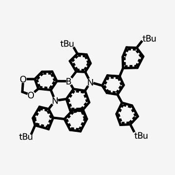 Cc1cc2c3c(c1)N(c1ccc(C(C)(C)C)cc1-c1ccccc1)c1c(ccc4c1OCO4)B3c1cc(C(C)(C)C)ccc1N2c1cc(-c2ccc(C(C)(C)C)cc2)cc(-c2ccc(C(C)(C)C)cc2)c1